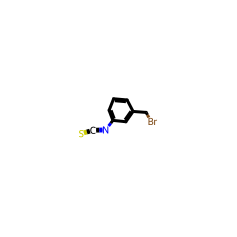 S=C=Nc1cccc(CBr)c1